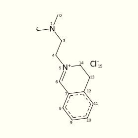 CN(C)CC[N+]1=Cc2ccccc2CC1.[Cl-]